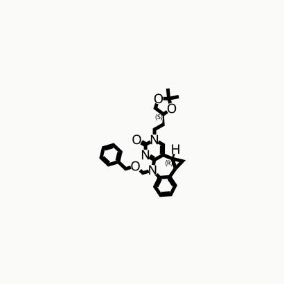 CC1(C)OC[C@H](CCn2cc3c(nc2=O)N(COCc2ccccc2)c2ccccc2C2C[C@@H]32)O1